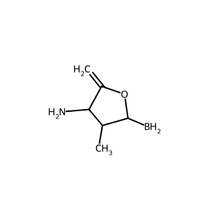 BC1OC(=C)C(N)C1C